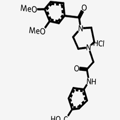 COc1ccc(C(=O)N2CCN(CC(=O)Nc3ccc(C(=O)O)cc3)CC2)cc1OC.Cl